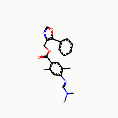 CCN(C)/C=N/c1cc(C)c(C(=O)OCc2ncoc2-c2ccccc2)cc1C